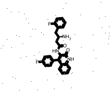 N[C@@H](CC(=O)Nc1c(-c2ccc(F)cc2)c2ccccc2[nH]c1=O)Cc1ccccc1F